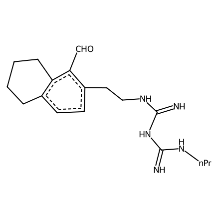 CCCNC(=N)NC(=N)NCCc1ccc2c(c1C=O)CCCC2